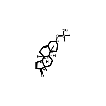 CC(C)(C)[Si](C)(C)O[C@H]1CC[C@@]2(C)C(=CC[C@@H]3[C@@H]2CC[C@]2(C)C(=O)C=C[C@@H]32)C1